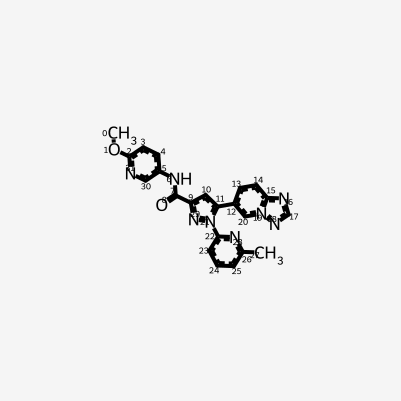 COc1ccc(NC(=O)c2cc(-c3ccc4ncnn4c3)n(-c3cccc(C)n3)n2)cn1